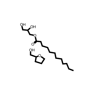 CCCCCCCCCCCC(=O)OCC(O)CO.OCC1CCCO1